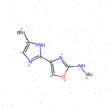 CC(C)(C)Nc1nc(-c2ncc(C(C)(C)C)[nH]2)co1